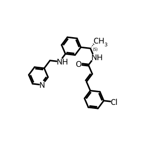 C[C@H](NC(=O)C=Cc1cccc(Cl)c1)c1cccc(NCc2cccnc2)c1